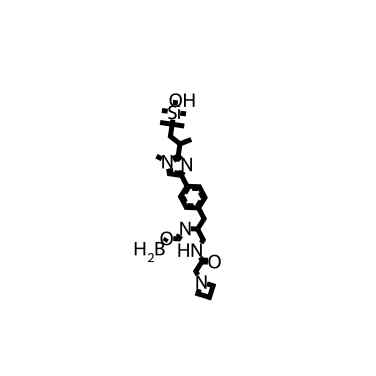 BOC=NC(CNC(=O)CN1CCC1)Cc1ccc(-c2cn(C)c(C(C)CC(C)(C)[Si](C)(C)O)n2)cc1